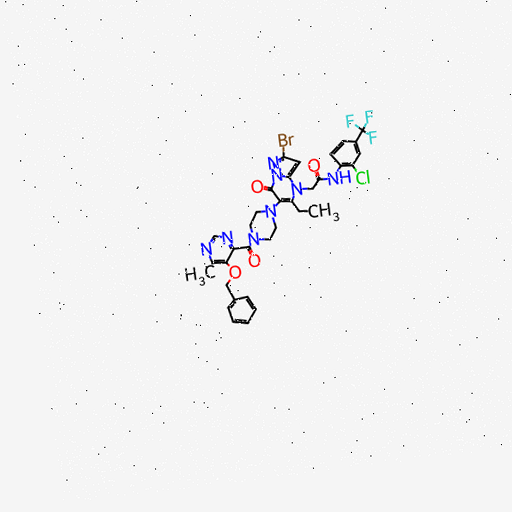 CCc1c(N2CCN(C(=O)c3ncnc(C)c3OCc3ccccc3)CC2)c(=O)n2nc(Br)cc2n1CC(=O)Nc1ccc(C(F)(F)F)cc1Cl